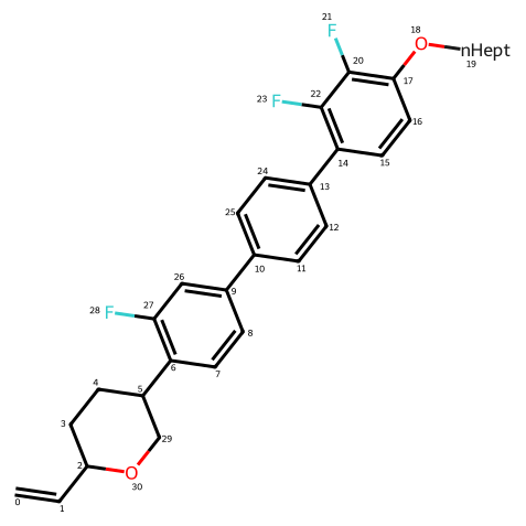 C=CC1CCC(c2ccc(-c3ccc(-c4ccc(OCCCCCCC)c(F)c4F)cc3)cc2F)CO1